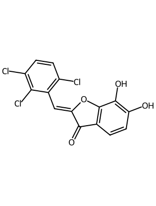 O=C1C(=Cc2c(Cl)ccc(Cl)c2Cl)Oc2c1ccc(O)c2O